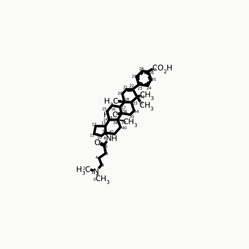 CN(C)CCCC(=O)NC12CCCC1C1CCC3C4(C)CC=C(c5ccc(C(=O)O)cc5)C(C)(C)C4CCC3(C)[C@]1(C)CC2